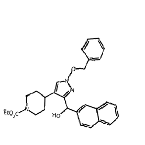 CCOC(=O)N1CCC(c2cn(OCc3ccccc3)nc2C(O)c2ccc3ccccc3c2)CC1